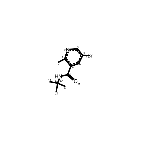 Cc1ncc(Br)cc1C(=O)NC(C)(C)C